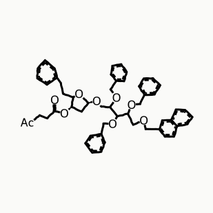 CC(=O)CCC(=O)O[C@@H]1C[C@H](OCC(OCc2ccccc2)C(OCc2ccccc2)C(COCc2ccc3ccccc3c2)OCc2ccccc2)OC1CCc1ccccc1